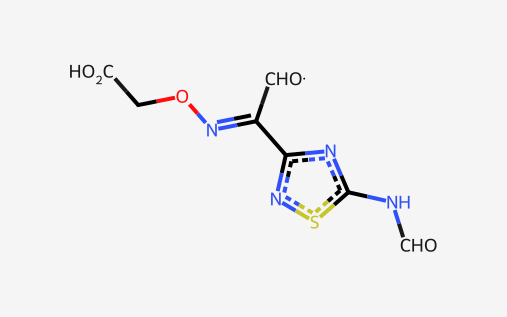 O=[C]C(=NOCC(=O)O)c1nsc(NC=O)n1